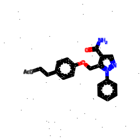 CC(=O)OCCc1ccc(OCc2c(C(N)=O)cnn2-c2ccccc2)cc1